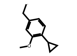 [CH2]Cc1ccc(C2CC2)c(OC)c1